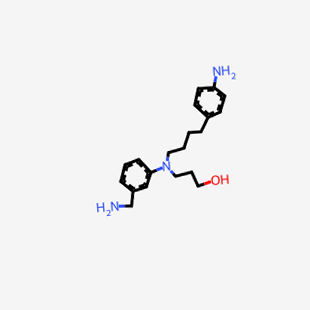 NCc1cccc(N(CCCO)CCCCc2ccc(N)cc2)c1